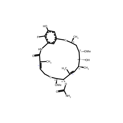 CO[C@H]1C[C@H](C)Cc2cc(O)c(F)c(c2)NC(=O)/C(C)=C/CC[C@H](OC)[C@@H](OC(N)=O)/C(C)=C/[C@H](C)[C@H]1O